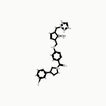 O=C(c1ccc(OCC2C=CC(Cn3ncnn3)[C@H]2O)cc1)N1CCC(c2cccc(F)c2)C1